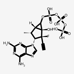 C#C[C@]1(F)[C@H](n2cnc3c(N)nc(N)nc32)[C@H](C)[C@@H]2C(OP(=O)(O)OP(=O)(O)OP(=O)(O)O)[C@@]21O